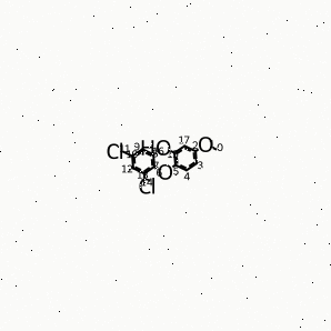 COc1ccc(Oc2ccc(Cl)cc2Cl)c(O)c1